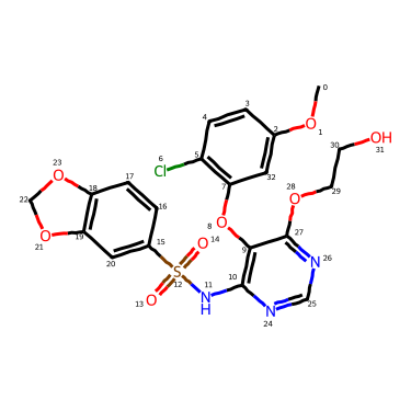 COc1ccc(Cl)c(Oc2c(NS(=O)(=O)c3ccc4c(c3)OCO4)ncnc2OCCO)c1